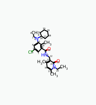 CCN(c1cc(Cl)cc(C(=O)NCc2c(C)cc(C)n(CC)c2=O)c1C)C1CCCCC1